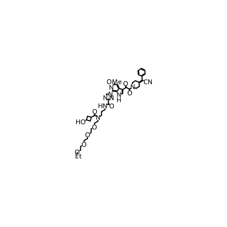 CCOCCOCCOCCOCCN(CCCNC(=O)c1ncn(-c2ncc(OC)c3c(C(=O)C(=O)N4CCC(=C(C#N)c5ccccc5)CC4)c[nH]c23)n1)C(=O)C1CC(O)C1